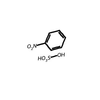 O=S(=O)(O)O.O=[N+]([O-])c1ccccc1